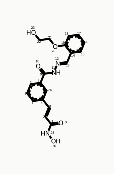 O=C(/C=C/c1cccc(C(=O)N/N=C/c2ccccc2OCCO)c1)NO